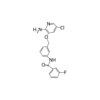 Nc1ncc(Cl)cc1OCc1cccc(NC(=O)c2cccc(F)c2)c1